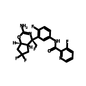 NC1=N[C@](CF)(c2cc(NC(=O)c3ncccc3F)ccc2F)[C@H]2CC(F)(F)C[C@H]2O1